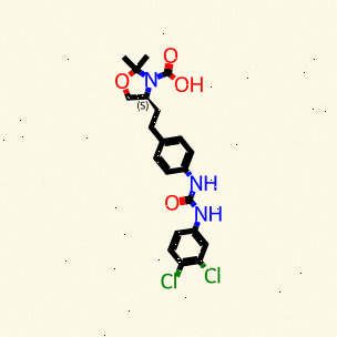 CC1(C)OC[C@H](CCc2ccc(NC(=O)Nc3ccc(Cl)c(Cl)c3)cc2)N1C(=O)O